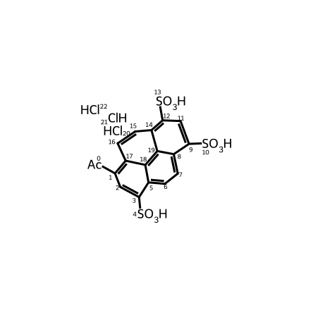 CC(=O)c1cc(S(=O)(=O)O)c2ccc3c(S(=O)(=O)O)cc(S(=O)(=O)O)c4ccc1c2c43.Cl.Cl.Cl